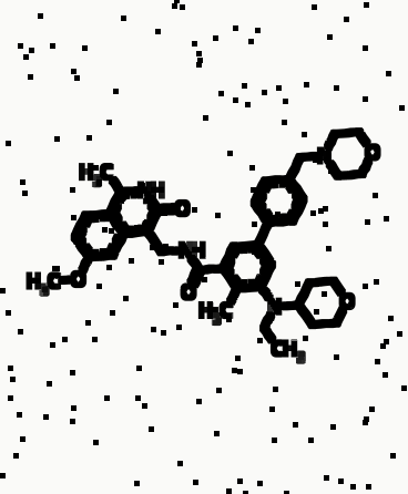 CCN(c1cc(-c2ccc(CN3CCOCC3)cc2)cc(C(=O)NCc2c(=O)[nH]c(C)c3ccc(OC)cc23)c1C)C1CCOCC1